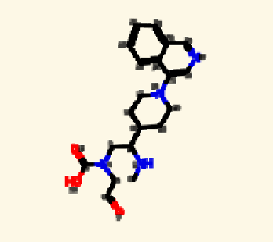 CNC(CN(CC=O)C(=O)O)C1CCN(c2cncc3ccccc23)CC1